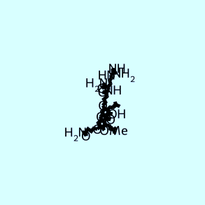 COc1c(OCCCC(N)=O)cc2oc3cc(OCCCC(=O)NC(CCCNC(=N)N)C(N)=O)c(CC=C(C)C)c(O)c3c(=O)c2c1CC=C(C)C